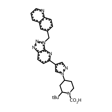 CC(C)(C)C1CC(n2cc(-c3ccc4nnn(Cc5ccc6ncccc6c5)c4n3)cn2)CCN1C(=O)O